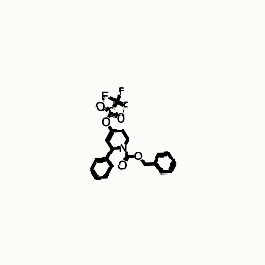 O=C(OCc1ccccc1)N1CCC(OS(=O)(=O)C(F)(F)F)=CC1c1ccccc1